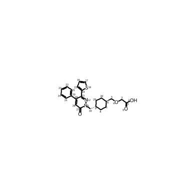 O=C(O)COC[C@H]1CC[C@H](Cn2nc(-c3cccs3)c(-c3ccccc3)cc2=O)CC1